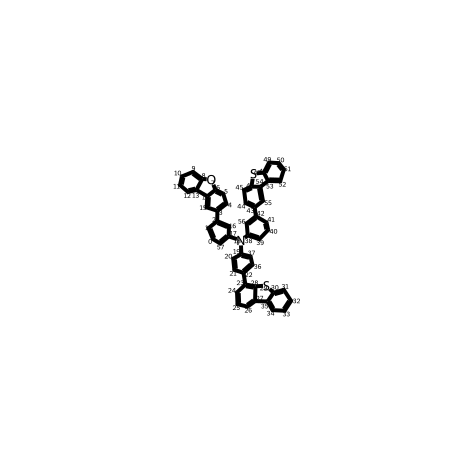 c1cc(-c2ccc3oc4ccccc4c3c2)cc(N(c2ccc(-c3cccc4c3sc3ccccc34)cc2)c2cccc(-c3ccc4sc5ccccc5c4c3)c2)c1